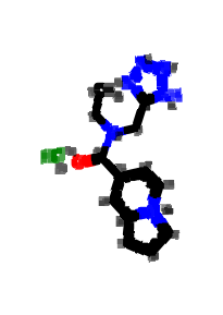 CCN(Cc1nnn[nH]1)C(=O)c1ccn2cccc2c1.Cl